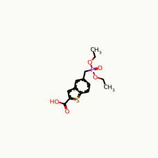 CCOP(=O)(Cc1ccc2sc(C(=O)O)cc2c1)OCC